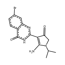 CC(C)N1CC(=O)C(c2nc3cc(Br)ccc3c(=O)[nH]2)=C1N